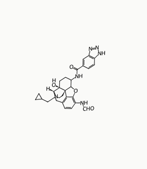 O=CNc1ccc2c3c1OC1C(NC(=O)c4ccc5[nH]nnc5c4)CC[C@@]4(O)[C@@H](C2)N(CC2CC2)CC[C@]314